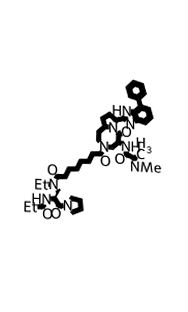 CCC(=O)N[C@@H](CN(CC)C(=O)CCCCCCC(=O)N1CCC2CCC(c3nc4cccc(-c5ccccc5)c4[nH]3)N2C(=O)C(NC(=O)C(C)NC)C1)C(=O)N1CCCC1